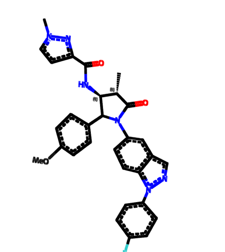 COc1ccc(C2[C@@H](NC(=O)c3ccn(C)n3)[C@H](C)C(=O)N2c2ccc3c(cnn3-c3ccc(F)cc3)c2)cc1